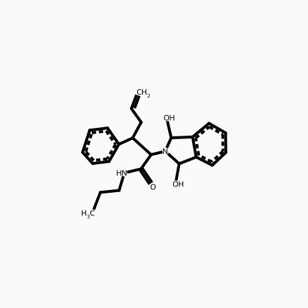 C=CCC(c1ccccc1)C(C(=O)NCCC)N1C(O)c2ccccc2C1O